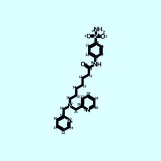 NS(=O)(=O)c1ccc(NC(=O)CCCCCCN(Cc2ccccn2)Cc2ccccn2)cc1